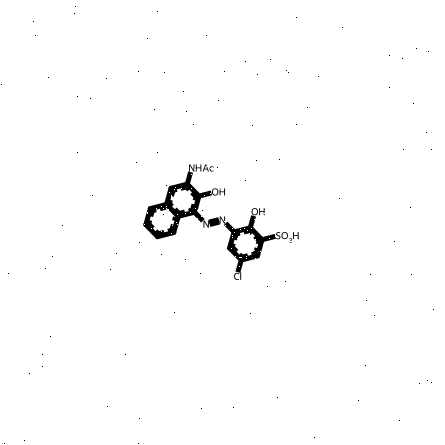 CC(=O)Nc1cc2ccccc2c(N=Nc2cc(Cl)cc(S(=O)(=O)O)c2O)c1O